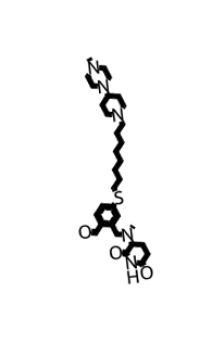 CN1CCN(C2CCN(CCCCCCCCSc3ccc(C=O)c(CN(C)C4CCC(=O)NC4=O)c3)CC2)CC1